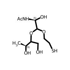 CC(=O)N[C@@H](O)C(OCCS)OC(CO)[C@H](C)O